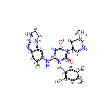 Cc1cncc(-n2c(=O)nc(Nc3cc4c(cc3Cl)nc3n4CCN3)n(Cc3cc(Cl)c(F)cc3F)c2=O)c1